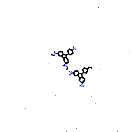 CCN(C)c1ccc2c(c1)-c1cc(N(C)CC)ccc1C2c1ccc(N(C)C)cc1.CCc1ccc(C2c3ccc(N(C)C)cc3-c3cc(N(C)C)ccc32)cc1